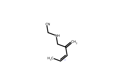 C=C(/C=C\C)CNCC#N